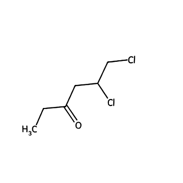 CCC(=O)CC(Cl)CCl